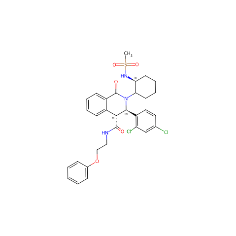 CS(=O)(=O)N[C@H]1CCCCC1N1C(=O)c2ccccc2[C@@H](C(=O)NCCOc2ccccc2)[C@@H]1c1ccc(Cl)cc1Cl